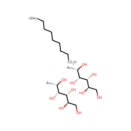 CC(=O)[C@H](O)[C@@H](O)[C@H](O)[C@H](O)CO.CC(=O)[C@H](O)[C@@H](O)[C@H](O)[C@H](O)CO.CCCCCCCCCCCCCCCCCC(=O)O